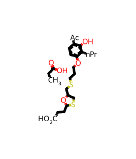 CCC(=O)O.CCCc1c(OCCCSCC2CSC(CCC(=O)O)O2)ccc(C(C)=O)c1O